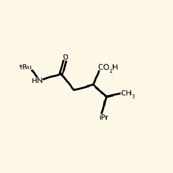 CC(C)C(C)C(CC(=O)NC(C)(C)C)C(=O)O